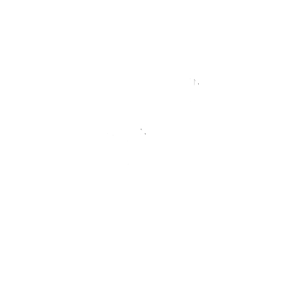 N#Cc1ccc(F)c(CNC(=O)OCc2ccccc2)c1